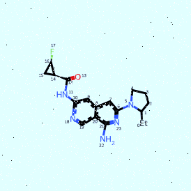 CCC1CCCN1c1cc2cc(NC(=O)[C@H]3C[C@H]3F)ncc2c(N)n1